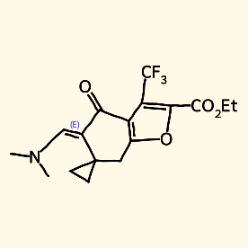 CCOC(=O)c1oc2c(c1C(F)(F)F)C(=O)/C(=C/N(C)C)C1(CC1)C2